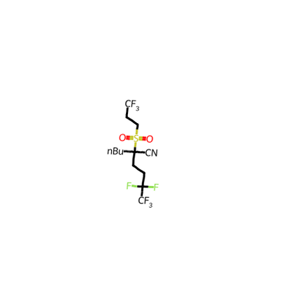 CCCCC(C#N)(CCC(F)(F)C(F)(F)F)S(=O)(=O)CCC(F)(F)F